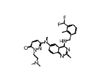 Cc1nc(NCc2cccc(C(F)F)c2C)c2cc(N(C)c3ccc(=O)n(CCN(C)C)n3)ccc2n1